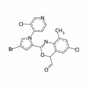 Cc1cc(Cl)cc2c1N=C(c1cc(Br)cn1-c1ccncc1Cl)OC2C=O